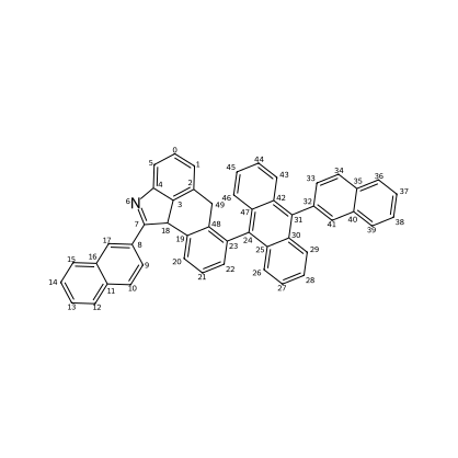 c1cc2c3c(c1)N=C(c1ccc4ccccc4c1)C3c1cccc(-c3c4ccccc4c(-c4ccc5ccccc5c4)c4ccccc34)c1C2